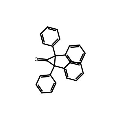 O=C1C(c2ccccc2)(c2ccccc2)C1(c1ccccc1)c1ccccc1